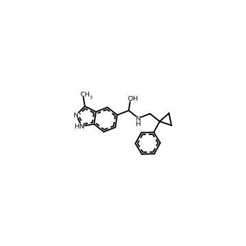 Cc1n[nH]c2ccc(C(O)NCC3(c4ccccc4)CC3)cc12